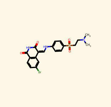 CN(C)CCS(=O)(=O)c1ccc(NC=C2C(=O)NC(=O)c3ccc(Br)cc32)cc1